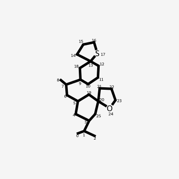 CC(C)C1CC(CC(C)C2CCCC3(CCCS3)C2)CC2(CCCO2)C1